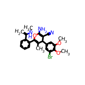 C=C(NC)c1ccccc1C1=C(C)C(c2cc(Br)c(OC)c(OC)c2)C(C#N)=C(N)O1